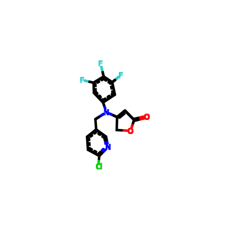 O=C1C=C(N(Cc2ccc(Cl)nc2)c2cc(F)c(F)c(F)c2)CO1